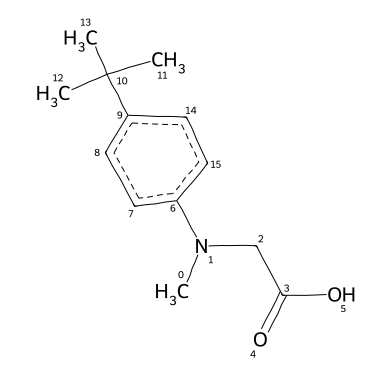 CN(CC(=O)O)c1ccc(C(C)(C)C)cc1